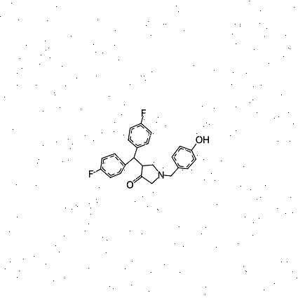 O=C1CN(Cc2ccc(O)cc2)CC1C(c1ccc(F)cc1)c1ccc(F)cc1